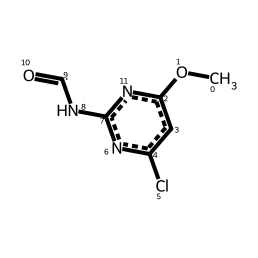 COc1cc(Cl)nc(N[C]=O)n1